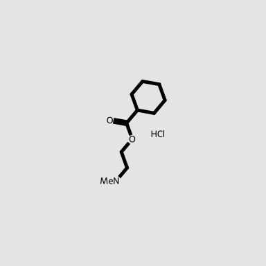 CNCCOC(=O)C1CCCCC1.Cl